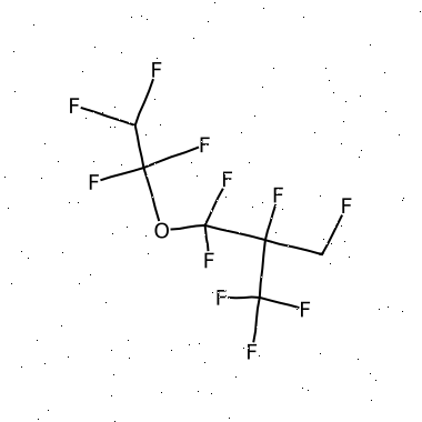 FCC(F)(C(F)(F)F)C(F)(F)OC(F)(F)C(F)F